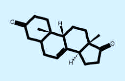 C[C@]12CCC(=O)CC1CC=C1[C@H]2CC[C@]2(C)C(=O)CC[C@@H]12